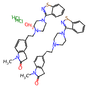 CN1C(=O)Cc2cc(CCN3CCN(c4nsc5ccccc45)CC3)ccc21.CN1C(=O)Cc2cc(CCN3CCN(c4nsc5ccccc45)CC3)ccc21.Cl.Cl.O